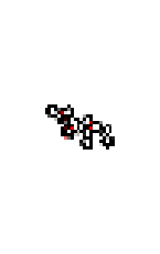 c1cc(-c2ccc3ccccc3c2)cc(N(c2ccccc2-c2cccc3oc4ccccc4c23)c2ccccc2-n2c3ccccc3c3ccccc32)c1